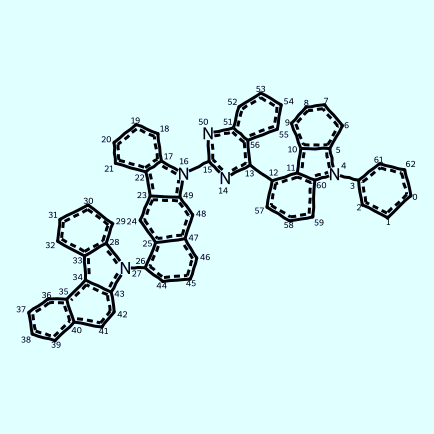 c1ccc(-n2c3ccccc3c3c(-c4nc(-n5c6ccccc6c6cc7c(-n8c9ccccc9c9c%10ccccc%10ccc98)cccc7cc65)nc5ccccc45)cccc32)cc1